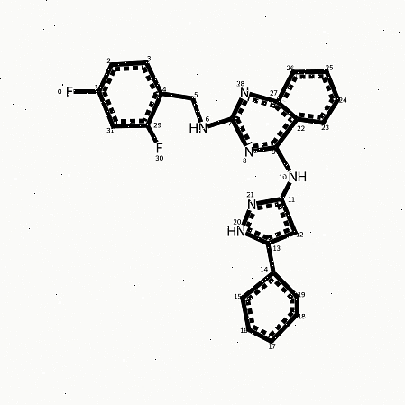 Fc1ccc(CNc2nc(Nc3cc(-c4ccccc4)[nH]n3)c3ccccc3n2)c(F)c1